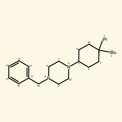 CC(C)C1(C(C)(C)C)CCC(N2CCN(Cc3ccccc3)CC2)CC1